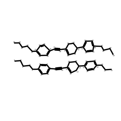 CCCCCc1ccc(C#CC2=CCC(c3ccc(CCC)cc3)CC2)cc1.CCCCCc1ccc(C#CC2=CCC(c3ccc(CCCC)cc3)CC2)cc1